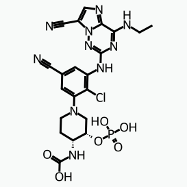 CCNc1nc(Nc2cc(C#N)cc(N3CC[C@@H](NC(=O)O)[C@@H](OP(=O)(O)O)C3)c2Cl)nn2c(C#N)cnc12